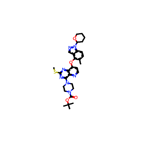 CSc1nc(N2CCN(C(=O)OC(C)(C)C)CC2)c2nccc(Oc3c(C)ccc4c3cnn4C3CCCCO3)c2n1